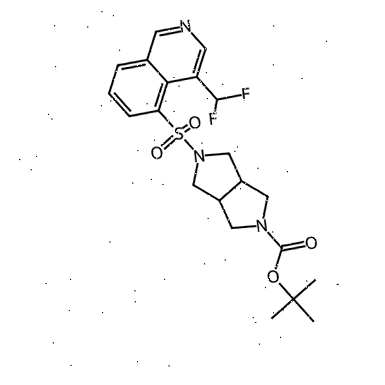 CC(C)(C)OC(=O)N1CC2CN(S(=O)(=O)c3cccc4cncc(C(F)F)c34)CC2C1